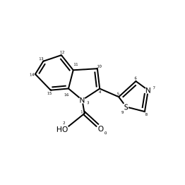 O=C(O)n1c(-c2cncs2)cc2ccccc21